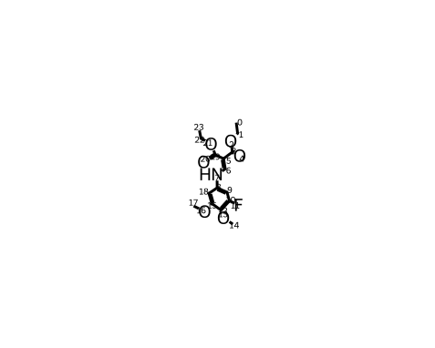 CCOC(=O)C(=CNc1cc(F)c(OC)c(OC)c1)C(=O)OCC